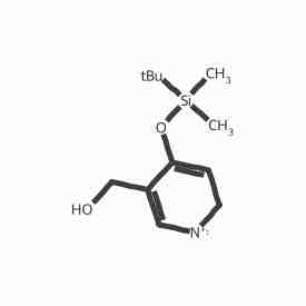 CC(C)(C)[Si](C)(C)OC1=CC[N+]C=C1CO